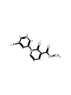 COC(=O)c1cccn(-c2cncc(F)c2)c1=O